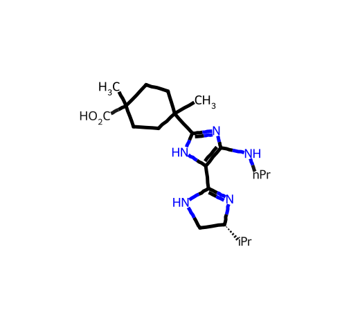 CCCNc1nc(C2(C)CCC(C)(C(=O)O)CC2)[nH]c1C1=N[C@H](C(C)C)CN1